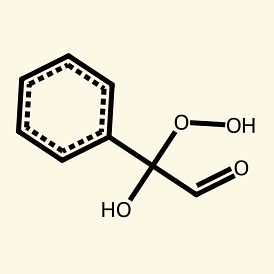 O=CC(O)(OO)c1ccccc1